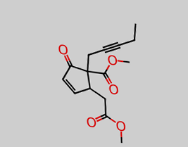 CCC#CCC1(C(=O)OC)C(=O)C=CC1CC(=O)OC